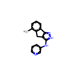 Cc1cccc2c1Cc1c-2n[nH]c1Nc1cccnc1